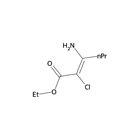 CCC/C(N)=C(\Cl)C(=O)OCC